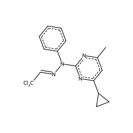 Cc1cc(C2CC2)nc(N(N=CC(Cl)(Cl)Cl)c2ccccc2)n1